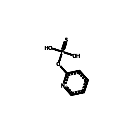 OP(O)(=S)Oc1ccccn1